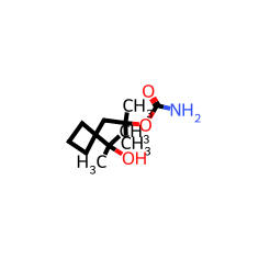 CC(C)(CC1(C(C)(C)O)CCC1)OC(N)=O